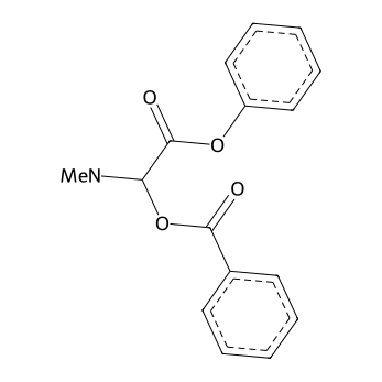 CNC(OC(=O)c1ccccc1)C(=O)Oc1ccccc1